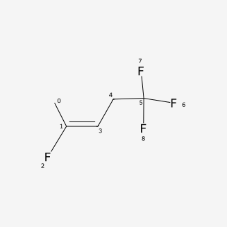 C/C(F)=C\CC(F)(F)F